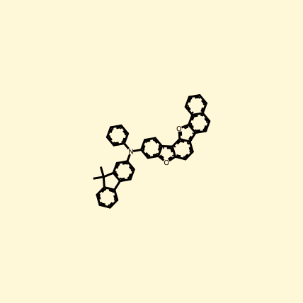 CC1(C)c2ccccc2-c2ccc(N(c3ccccc3)c3ccc4c(c3)oc3ccc5c6ccc7ccccc7c6oc5c34)cc21